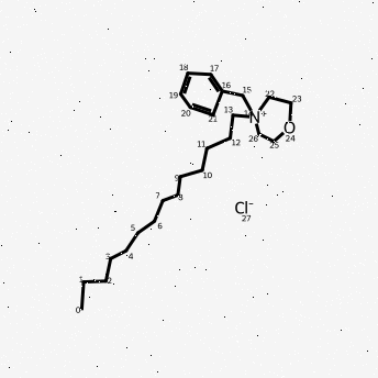 CCCCCCCCCCCCCC[N+]1(Cc2ccccc2)CCOCC1.[Cl-]